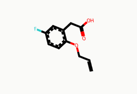 C=CCOc1ccc(F)cc1CC(=O)O